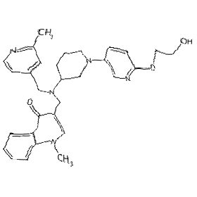 Cc1cc(CN(Cc2cn(C)c3ccccc3c2=O)C2CCCN(c3ccc(OCCO)nc3)C2)ccn1